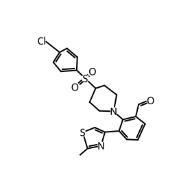 Cc1nc(-c2cccc(C=O)c2N2CCC(S(=O)(=O)c3ccc(Cl)cc3)CC2)cs1